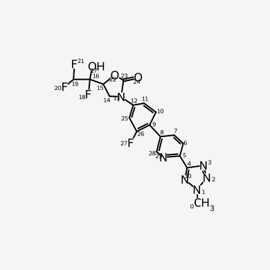 Cn1nnc(-c2ccc(-c3ccc(N4CC(C(O)(F)C(F)F)OC4=O)cc3F)cn2)n1